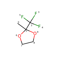 CC1(C(F)(F)F)OCCO1